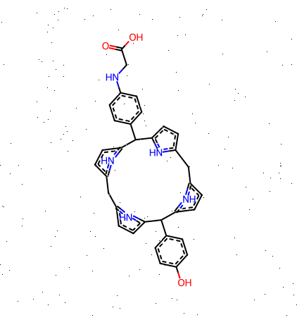 O=C(O)CNc1ccc(C2c3ccc([nH]3)Cc3ccc([nH]3)C(c3ccc(O)cc3)c3ccc([nH]3)Cc3ccc2[nH]3)cc1